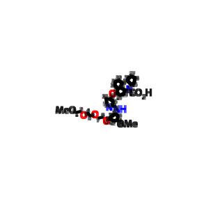 COCCOCCOCCOc1cc(Nc2cc(Oc3ccc(N(C(=O)O)c4ccccc4)c4ccccc34)ccn2)cc(OC)c1